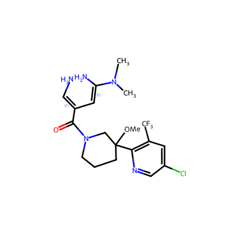 COC1(c2ncc(Cl)cc2C(F)(F)F)CCCN(C(=O)C(=C/N)/C=C(\N)N(C)C)C1